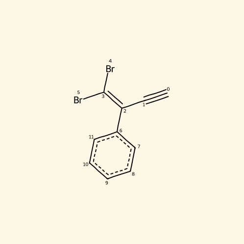 C#CC(=C(Br)Br)c1ccccc1